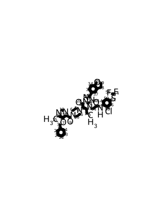 CCc1c(N2CCN(C(=O)c3ncnc(C)c3OCc3ccccc3)CC2)c(=O)n2nc(-c3ccc4c(c3)CCO4)nc2n1CC(=O)Nc1ccc(SC(F)F)cc1Cl